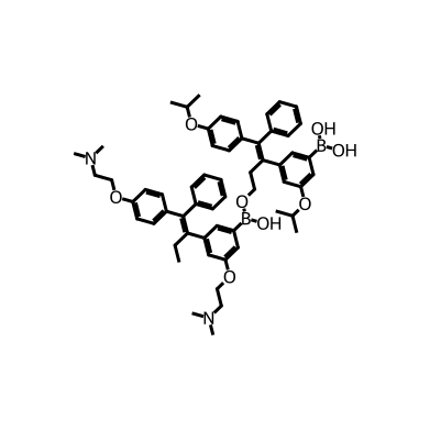 CC/C(=C(/c1ccccc1)c1ccc(OCCN(C)C)cc1)c1cc(OCCN(C)C)cc(B(O)OCC/C(=C(/c2ccccc2)c2ccc(OC(C)C)cc2)c2cc(OC(C)C)cc(B(O)O)c2)c1